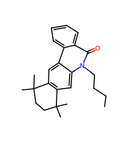 CCCCn1c(=O)c2ccccc2c2cc3c(cc21)C(C)(C)CCC3(C)C